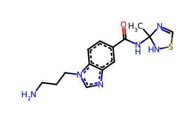 CC1(NC(=O)c2ccc3c(c2)ncn3CCCN)N=CSN1